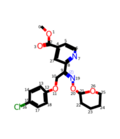 COC(=O)c1ccnc(/C(COc2ccc(Cl)cc2)=N/OC2CCCCO2)c1